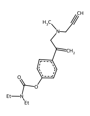 C#CCN(C)CC(=C)c1ccc(OC(=O)N(CC)CC)cc1